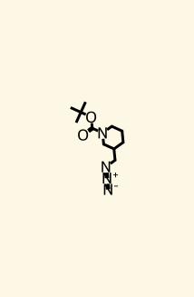 CC(C)(C)OC(=O)N1CCCC(CN=[N+]=[N-])C1